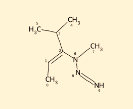 C/C=C(/C(C)C)N(C)N=N